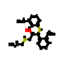 COc1cccc(SC(c2ccccc2OC)C(O)CSCC(=O)O)c1